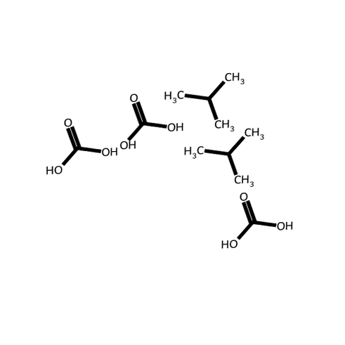 CC(C)C.CC(C)C.O=C(O)O.O=C(O)O.O=C(O)O